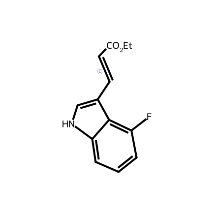 CCOC(=O)/C=C/c1c[nH]c2cccc(F)c12